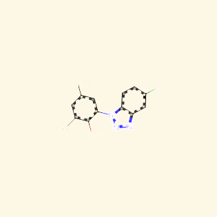 Cc1cc(-n2nnc3cc(Cl)ccc32)c(O)c(C(C)(C)C)c1